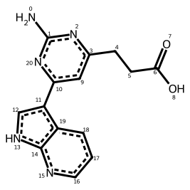 Nc1nc(CCC(=O)O)cc(-c2c[nH]c3ncccc23)n1